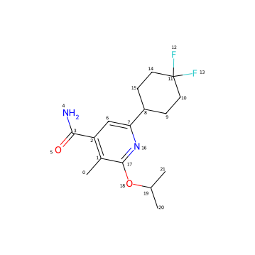 Cc1c(C(N)=O)cc(C2CCC(F)(F)CC2)nc1OC(C)C